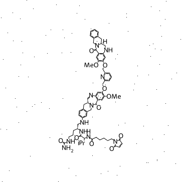 COc1cc2c(cc1OCc1cccc(COc3cc4c(cc3OC)C(=O)N3Cc5ccccc5C[C@H]3CN4)n1)N=CC1Cc3ccc(NC[C@H](CCCNC(N)=O)NC(=O)[C@@H](NC(=O)CCCCCN4C(=O)C=CC4=O)C(C)C)cc3CN1C2=O